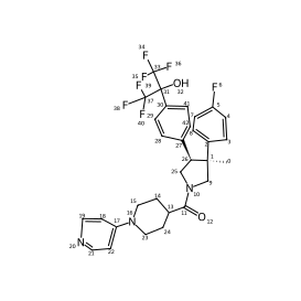 C[C@]1(c2ccc(F)cc2)CN(C(=O)C2CCN(c3ccncc3)CC2)C[C@H]1c1ccc(C(O)(C(F)(F)F)C(F)(F)F)cc1